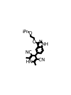 CC1=C(C#N)C(c2ccc3[nH]nc(OCCOC(C)C)c3c2)C(C#N)=C(C)N1